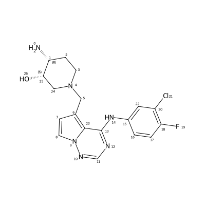 N[C@@H]1CCN(Cc2ccn3ncnc(Nc4ccc(F)c(Cl)c4)c23)C[C@@H]1O